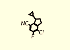 N#Cc1cc(F)c(Cl)c2c1C(C1CC1)CC2